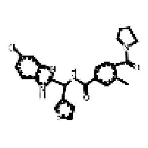 Cc1cc(C(=O)NC(c2ccsc2)c2nc3cc(Cl)ccc3[nH]2)ccc1C(=O)N1CCCC1